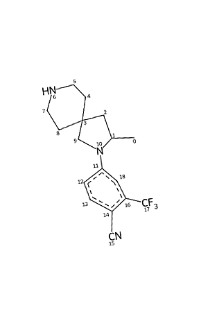 CC1CC2(CCNCC2)CN1c1ccc(C#N)c(C(F)(F)F)c1